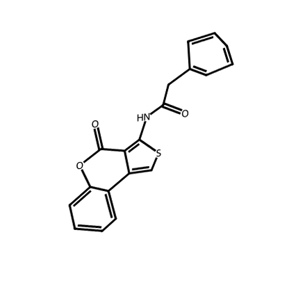 O=C(Cc1ccccc1)Nc1scc2c1c(=O)oc1ccccc12